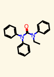 CCN(C(=O)N(c1ccccc1)c1ccccc1)c1ccccc1